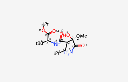 CO[C@](O)(C(N)=O)C(CC(C)C)C(=O)N[C@H](C(=O)OC(C)C)C(C)(C)C